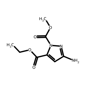 CCOC(=O)c1cc(N)nn1C(=O)OC